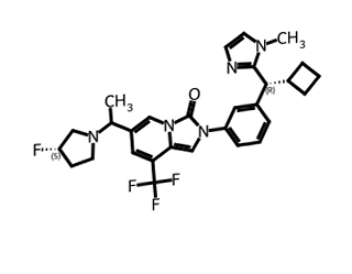 CC(c1cc(C(F)(F)F)c2cn(-c3cccc([C@H](c4nccn4C)C4CCC4)c3)c(=O)n2c1)N1CC[C@H](F)C1